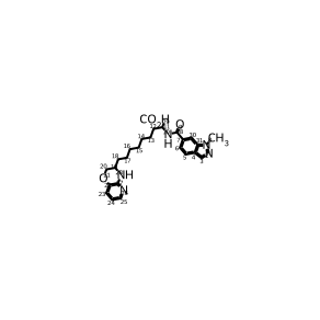 Cn1ncc2ccc(C(=O)NC(CCCCCCCC3COc4cccnc4N3)C(=O)O)cc21